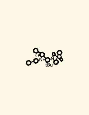 CC(C)(C)c1cc(-c2ccc3c(oc4ccccc43)c2Nc2ccc(-c3ccccc3)cc2)cc(N2c3ccccc3C3(c4ccccc4-c4ccccc43)c3ccccc32)c1